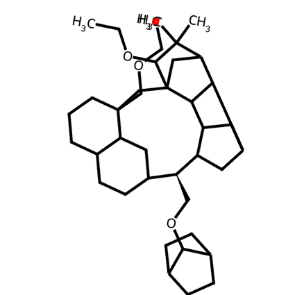 CCOCC12CCCC3CCC(CC31)[C@H](COC1C3CCC1CC3)C1CC3CC1C1C3C3CC1(C2)C(OCC)C3(C)C